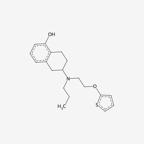 CCCN(CCOc1cccs1)C1CCc2c(O)cccc2C1